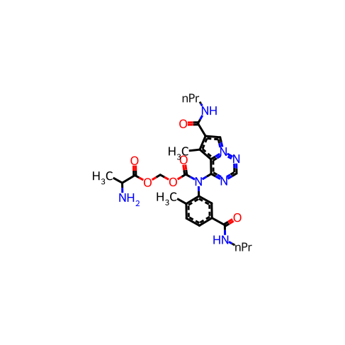 CCCNC(=O)c1ccc(C)c(N(C(=O)OCOC(=O)C(C)N)c2ncnn3cc(C(=O)NCCC)c(C)c23)c1